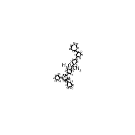 CC(C)(c1ccc(-c2cccc(C3=CC=CCC=C3)c2)cc1)c1ccc(-c2nc(C3=CCCC=C3)nc(-c3ccccc3)n2)cc1